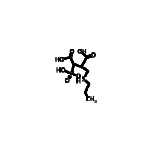 CCCSCC(C(=O)O)C(C(=O)O)P(=O)(O)O